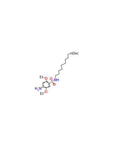 CCCCCCCCCCCCCCCCCCCNS(=O)(=O)c1cc(OCC)c(N)cc1OCC